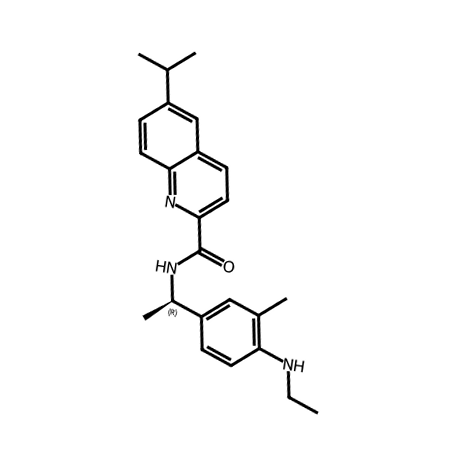 CCNc1ccc([C@@H](C)NC(=O)c2ccc3cc(C(C)C)ccc3n2)cc1C